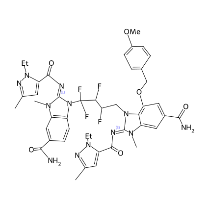 CCn1nc(C)cc1C(=O)/N=c1\n(C)c2cc(C(N)=O)cc(OCc3ccc(OC)cc3)c2n1CC(F)C(F)C(F)(F)n1/c(=N/C(=O)c2cc(C)nn2CC)n(C)c2cc(C(N)=O)ccc21